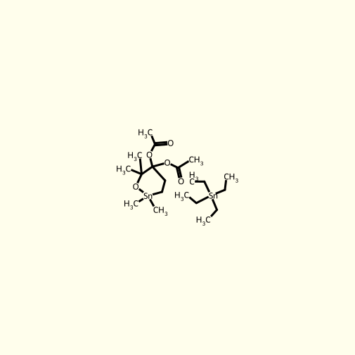 CC(=O)OC1(OC(C)=O)C[CH2][Sn]([CH3])([CH3])[O]C1(C)C.C[CH2][Sn]([CH2]C)([CH2]C)[CH2]C